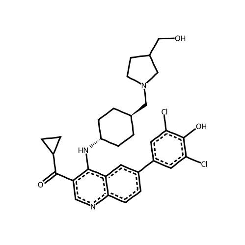 O=C(c1cnc2ccc(-c3cc(Cl)c(O)c(Cl)c3)cc2c1N[C@H]1CC[C@H](CN2CCC(CO)C2)CC1)C1CC1